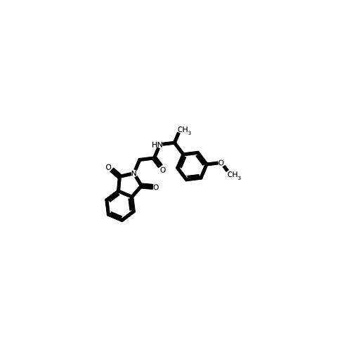 COc1cccc(C(C)NC(=O)CN2C(=O)c3ccccc3C2=O)c1